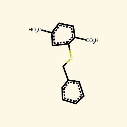 O=C(O)c1ccc(C(=O)O)c(SCc2ccccc2)c1